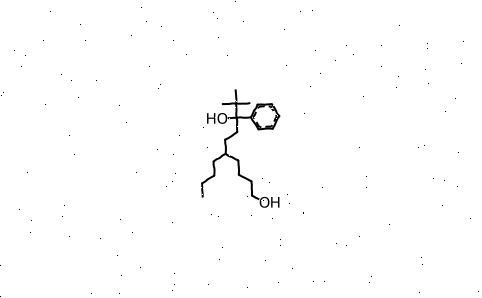 CCCCC(CCCCO)CCC(O)(c1ccccc1)C(C)(C)C